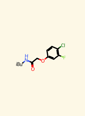 CCC(C)NC(=O)COc1ccc(Cl)c(F)c1